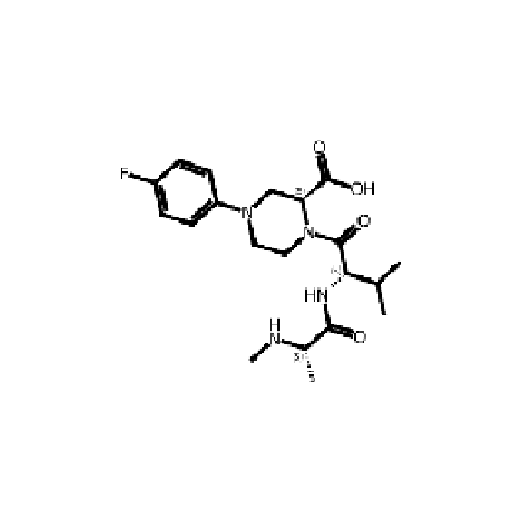 CN[C@@H](C)C(=O)N[C@H](C(=O)N1CCN(c2ccc(F)cc2)C[C@H]1C(=O)O)C(C)C